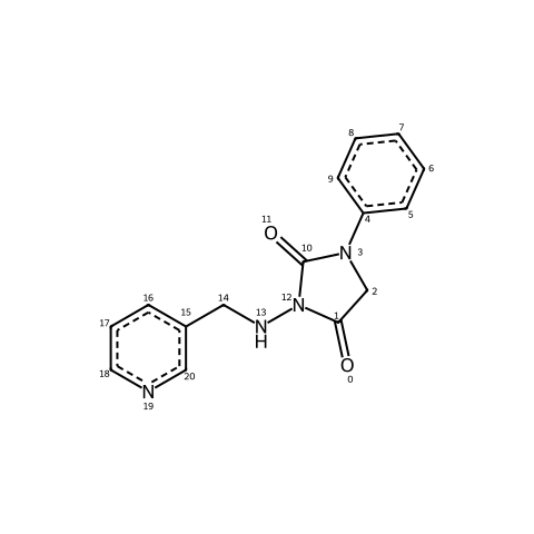 O=C1CN(c2ccccc2)C(=O)N1NCc1cccnc1